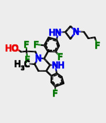 CC1CC2c3cc(F)ccc3NC2C(c2c(F)cc(NC3CN(CCCF)C3)cc2F)N1CC(F)(F)CO